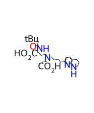 CC(C)(C)CC(=O)NC(CCN(CCCCc1ccc2c(n1)NCCC2)CCC(=O)O)C(=O)O